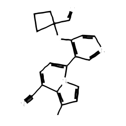 N#Cc1ccc(-c2cnccc2SC2(C=O)CCC2)n2ccc(Cl)c12